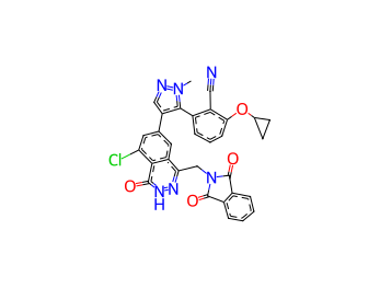 Cn1ncc(-c2cc(Cl)c3c(=O)[nH]nc(CN4C(=O)c5ccccc5C4=O)c3c2)c1-c1cccc(OC2CC2)c1C#N